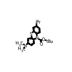 CC(C)c1ccc2c(c1)Sc1cc(N(C)C)ccc1N2C(=O)OC(C)(C)C